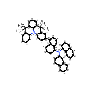 CC1(C)c2ccccc2N2c3ccc(-c4cccc5c(N(c6ccc7ccccc7c6)c6cccc7ccccc67)cccc45)cc3C(C)(C)c3cccc1c32